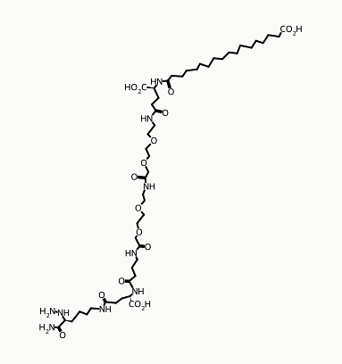 NN[C@@H](CCCCNC(=O)CC[C@H](NC(=O)CCCNC(=O)COCCOCCNC(=O)COCCOCCNC(=O)CC[C@H](NC(=O)CCCCCCCCCCCCCCCCC(=O)O)C(=O)O)C(=O)O)C(N)=O